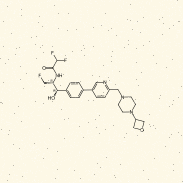 O=C(N[C@H](CF)[C@H](O)c1ccc(-c2ccc(CN3CCN(C4COC4)CC3)nc2)cc1)C(F)F